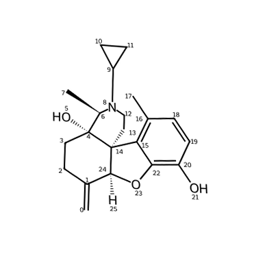 C=C1CC[C@@]2(O)[C@@H](C)N(C3CC3)CC[C@@]23c2c(C)ccc(O)c2O[C@@H]13